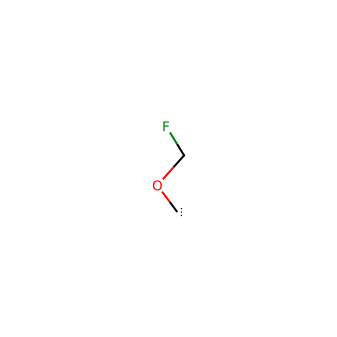 [C]OCF